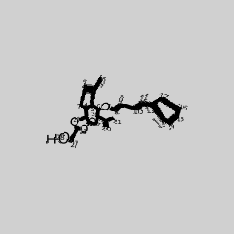 CC1CCC2C1C(OC=CC=Cc1ccccc1)C1(C(C)C)CC(OC(=O)CO)C2(C)O1